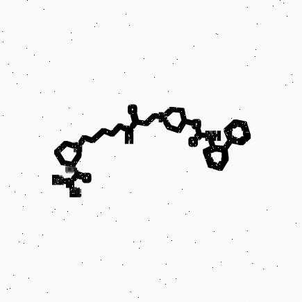 CCN(CC)C(=O)[C@@H]1CCCN(CCCCCNC(=O)CCN2CCC(OC(=O)Nc3ccccc3-c3ccccc3)CC2)C1